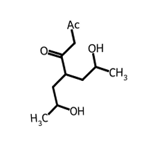 CC(=O)CC(=O)C(CC(C)O)CC(C)O